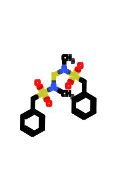 CN(SN(C)S(=O)(=O)Cc1ccccc1)S(=O)(=O)Cc1ccccc1